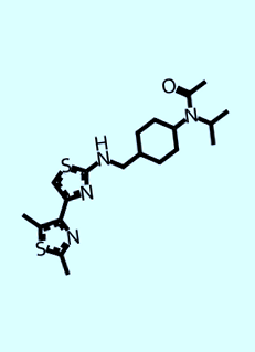 CC(=O)N(C(C)C)C1CCC(CNc2nc(-c3nc(C)sc3C)cs2)CC1